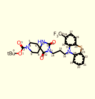 CC(C)(C)OC(=O)N1CCC2(CC1)NC(=O)N(CCCN1c3ccccc3Sc3ccc(C(F)(F)F)cc31)C2=O